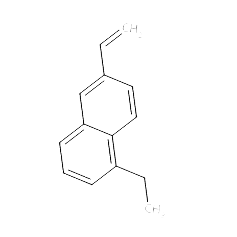 C=Cc1ccc2c(CC)cccc2c1